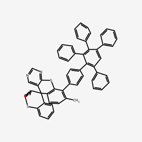 Cc1ccc2c(c1-c1ccc(-c3c(-c4ccccc4)cc(-c4ccccc4)c(-c4ccccc4)c3-c3ccccc3)cc1)Sc1ncncc1C21c2ccccc2Sc2ccccc21